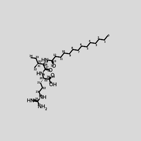 CCCCCCCCCCCCCC(=O)N[C@H](C(=O)N[C@@H](CCCNC(=N)N)C(=O)O)[C@@H](C)CC